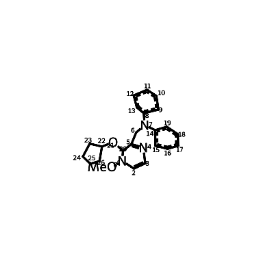 CON1C=CN=C(CN(c2ccccc2)c2ccccc2)C1OC1CCCC1